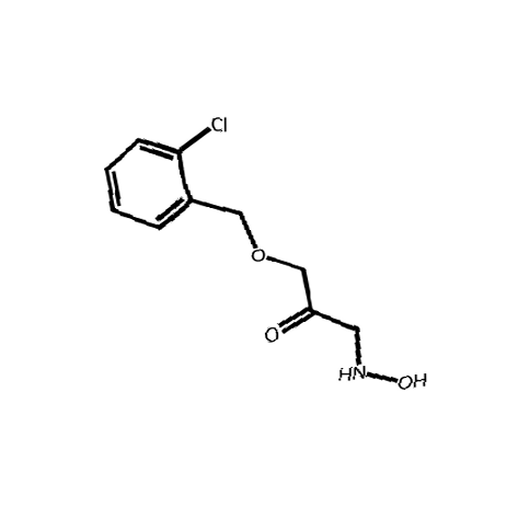 O=C(CNO)COCc1ccccc1Cl